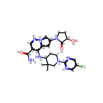 CC1(C)CN(c2ncc(F)cn2)CCC1Nc1c(C(N)=O)cnn2cc(N3CCC(O)C3=O)cc12